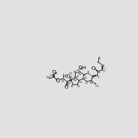 CC/C=C\C(=O)/C=C1\CC2C(C[C@@H]1C)C1CC[C@](O)(C(=O)COC(C)=O)[C@@]1(C)C[C@@H]2O